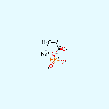 CCC(=O)O[PH](=O)[O-].[Na+]